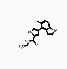 O=C(NCC(F)(F)F)c1cc(-c2c(Cl)cnc3[nH]ccc23)c[nH]1